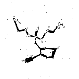 CCOOP(=O)(Cc1ccccc1C#N)OOCC